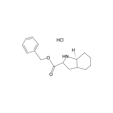 Cl.O=C(OCc1ccccc1)C1CC2CCCC[C@@H]2N1